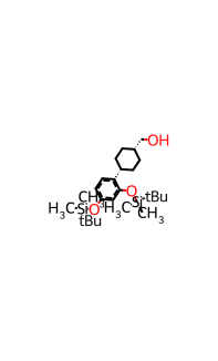 CC(C)(C)[Si](C)(C)Oc1ccc([C@H]2CC[C@@H](CO)CC2)c(O[Si](C)(C)C(C)(C)C)c1